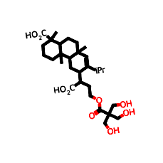 CC(C)C1=CC2(C)CCC3C(C)(C(=O)O)CCCC3(C)C2CC1C(CCOC(=O)C(CO)(CO)CO)C(=O)O